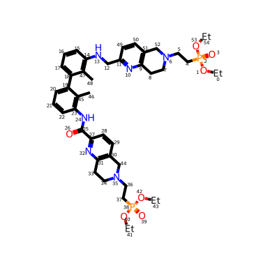 CCOP(=O)(CCN1CCc2nc(CNc3cccc(-c4cccc(NC(=O)c5ccc6c(n5)CCN(CCP(=O)(OCC)OCC)C6)c4C)c3C)ccc2C1)OCC